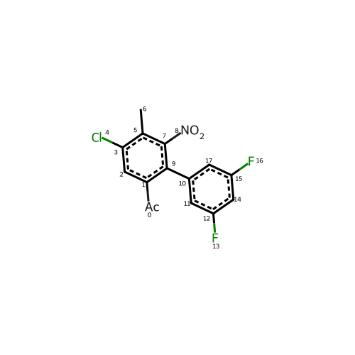 CC(=O)c1cc(Cl)c(C)c([N+](=O)[O-])c1-c1cc(F)cc(F)c1